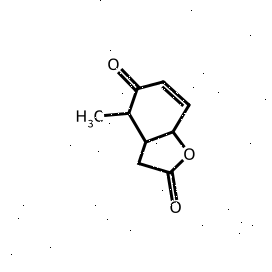 CC1C(=O)C=CC2OC(=O)CC21